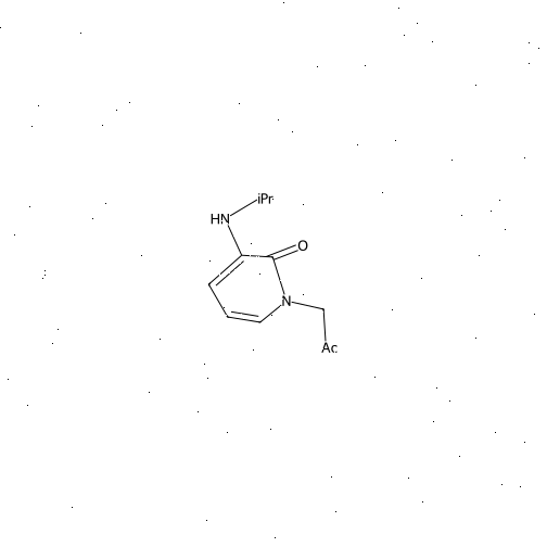 CC(=O)Cn1cccc(NC(C)C)c1=O